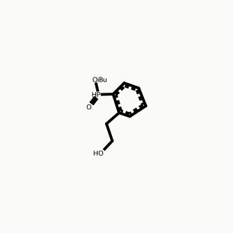 CC(C)CO[PH](=O)c1ccccc1CCO